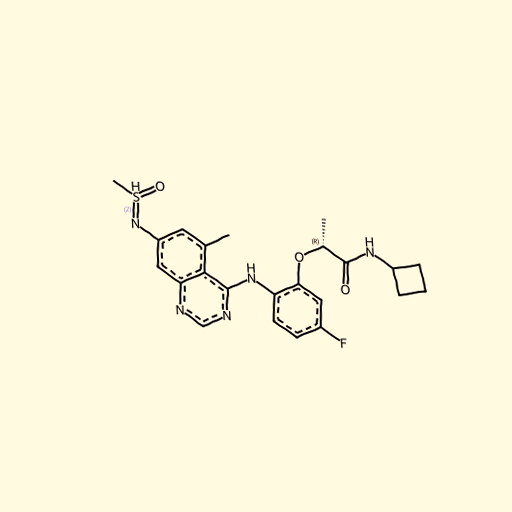 Cc1cc(/N=[SH](/C)=O)cc2ncnc(Nc3ccc(F)cc3O[C@H](C)C(=O)NC3CCC3)c12